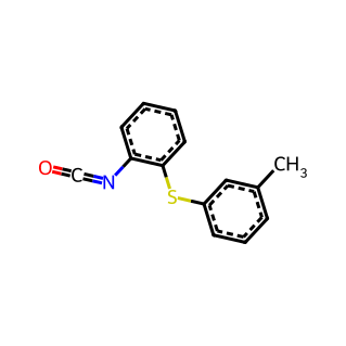 Cc1cccc(Sc2ccccc2N=C=O)c1